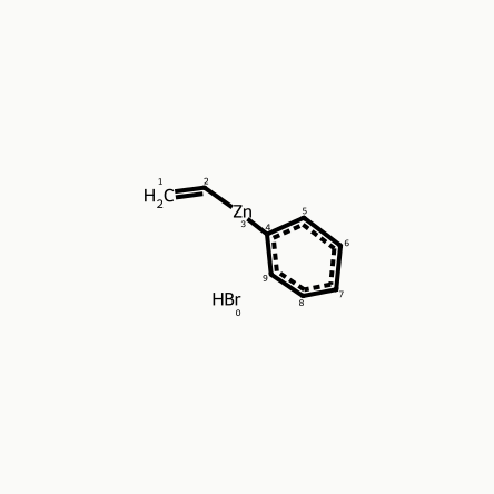 Br.C=[CH][Zn][c]1ccccc1